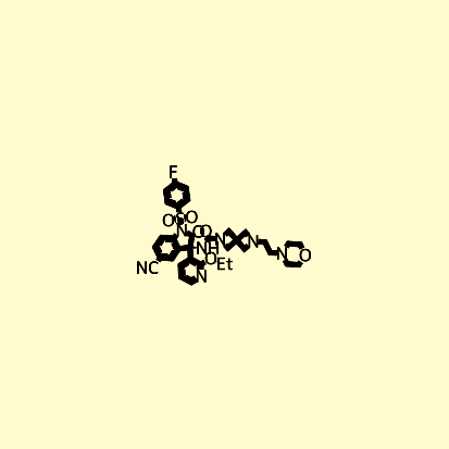 CCOc1ncccc1[C@]1(NC(=O)N2CC3(CN(CCN4CCOCC4)C3)C2)C(=O)N(S(=O)(=O)c2ccc(F)cc2)c2ccc(C#N)cc21